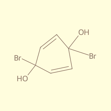 OC1(Br)C=CC(O)(Br)C=C1